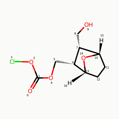 O=C(OCl)OC[C@@H]1[C@H](CO)[C@@H]2CC[C@H]1O2